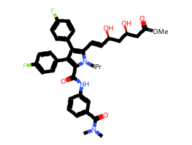 COC(=O)C[C@H](O)C[C@H](O)/C=C/c1c(-c2ccc(F)cc2)c(-c2ccc(F)cc2)c(C(=O)Nc2cccc(C(=O)N(C)C)c2)n1C(C)C